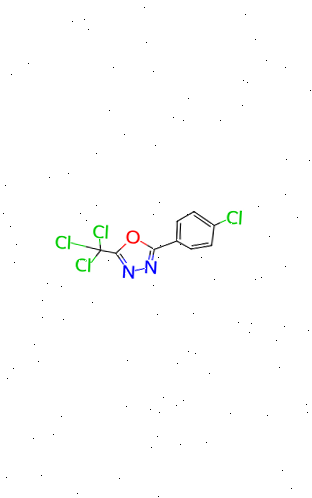 Clc1ccc(-c2nnc(C(Cl)(Cl)Cl)o2)cc1